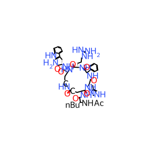 CCCC[C@H](NC(C)=O)C(=O)N[C@H]1CCC(=O)NCCC[C@@H](C(=O)N[C@@H](Cc2c[nH]c3ccccc23)C(N)=O)NC(=O)[C@H](CCCNC(=N)N)NC(=O)C(c2ccccc2)NC(=O)[C@H](Cc2c[nH]cn2)NC1=O